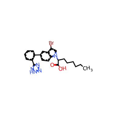 CCCCCCC(C(=O)O)n1cc(Br)c2cc(-c3ccccc3-c3nn[nH]n3)ccc21